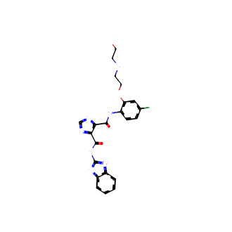 O=C(Nc1nc2ccccc2[nH]1)c1nc[nH]c1C(=O)Nc1ccc(F)cc1OCCNCCO